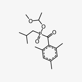 COC(C)OP(=O)(CC(C)C)C(=O)c1c(C)cc(C)cc1C